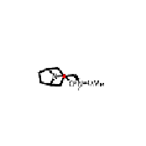 CON=CC1CC2CCC(C1)N2CC(F)(F)F